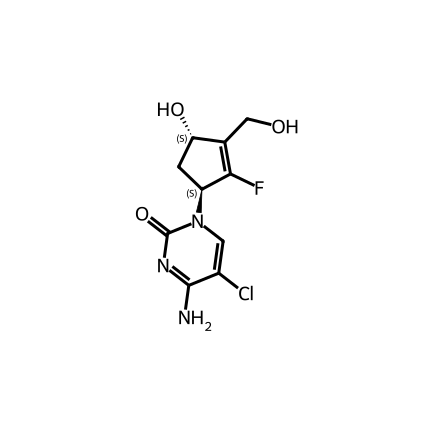 Nc1nc(=O)n([C@H]2C[C@H](O)C(CO)=C2F)cc1Cl